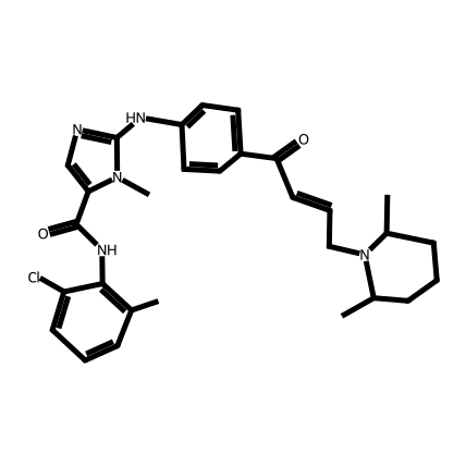 Cc1cccc(Cl)c1NC(=O)c1cnc(Nc2ccc(C(=O)/C=C/CN3C(C)CCCC3C)cc2)n1C